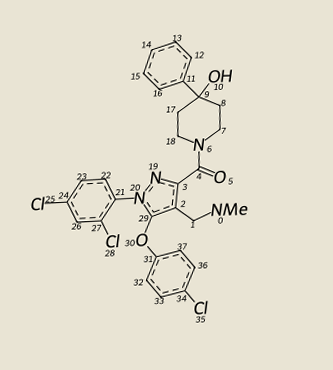 CNCc1c(C(=O)N2CCC(O)(c3ccccc3)CC2)nn(-c2ccc(Cl)cc2Cl)c1Oc1ccc(Cl)cc1